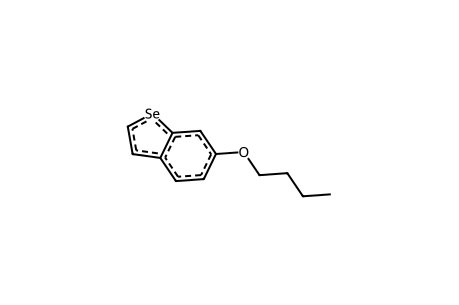 CCCCOc1ccc2cc[se]c2c1